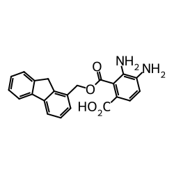 Nc1ccc(C(=O)O)c(C(=O)OCc2cccc3c2Cc2ccccc2-3)c1N